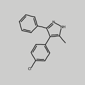 Cc1[nH]nc(-c2ccccc2)c1-c1ccc(Cl)cc1